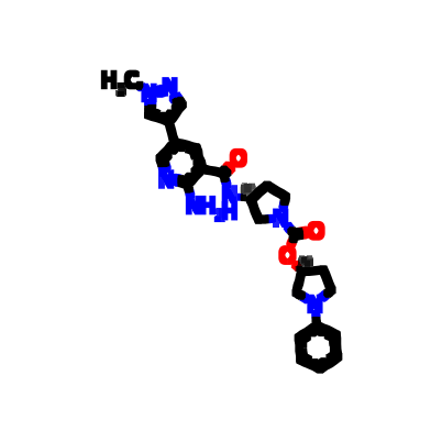 Cn1cc(-c2cnc(N)c(C(=O)N[C@@H]3CCN(C(=O)O[C@H]4CCN(c5ccccc5)C4)C3)c2)cn1